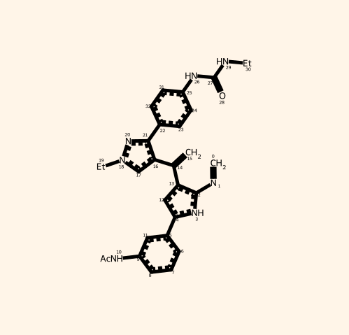 C=Nc1[nH]c(-c2cccc(NC(C)=O)c2)cc1C(=C)c1cn(CC)nc1-c1ccc(NC(=O)NCC)cc1